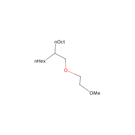 CCCCCCCCC(CCCCCC)COCCOC